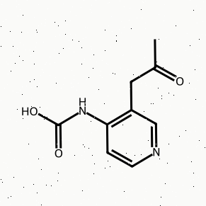 CC(=O)Cc1cnccc1NC(=O)O